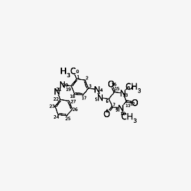 Cc1cc(N=NC2C(=O)N(C)C(=O)N(C)C2=O)ccc1/N=N\c1ccccc1